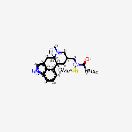 CO[C@]12CC(CN(S)C(=O)NC(C)=O)CN(C)[C@@H]1Cc1c[nH]c3cccc2c13